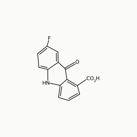 O=C(O)c1cccc2[nH]c3ccc(F)cc3c(=O)c12